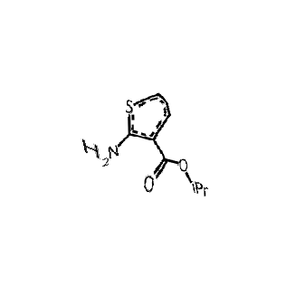 CC(C)OC(=O)c1ccsc1N